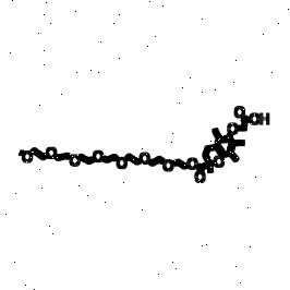 COCCOCCOCCOCCOCCOCCOCCOC(=O)C1(C)CCc2c(C)c(OCC(=O)O)c(C)c(C)c2O1